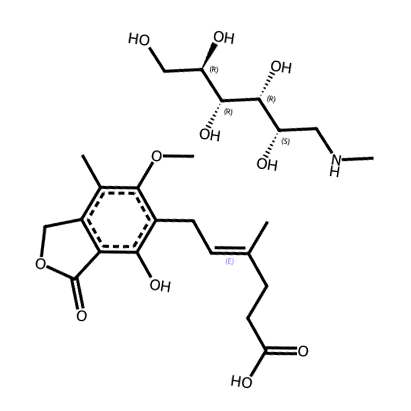 CNC[C@H](O)[C@@H](O)[C@H](O)[C@H](O)CO.COc1c(C)c2c(c(O)c1C/C=C(\C)CCC(=O)O)C(=O)OC2